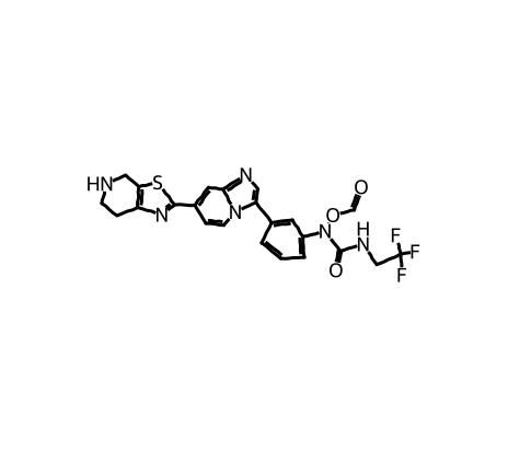 O=CON(C(=O)NCC(F)(F)F)c1cccc(-c2cnc3cc(-c4nc5c(s4)CNCC5)ccn23)c1